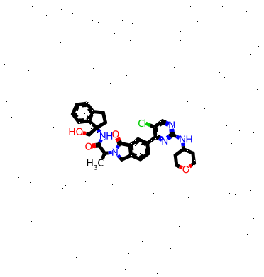 CC(C(=O)NC1(CO)CCc2ccccc21)N1Cc2ccc(-c3nc(NC4CCOCC4)ncc3Cl)cc2C1=O